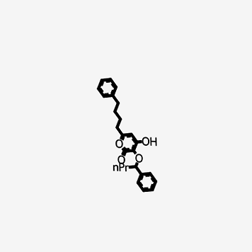 CCCC(Oc1c(O)cc(CCCCc2ccccc2)oc1=O)c1ccccc1